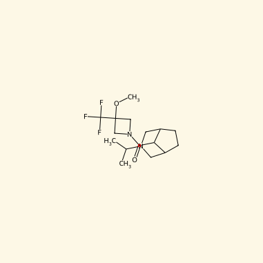 COC1(C(F)(F)F)CN(C(=O)C2C3CCC2CN(C(C)C)C3)C1